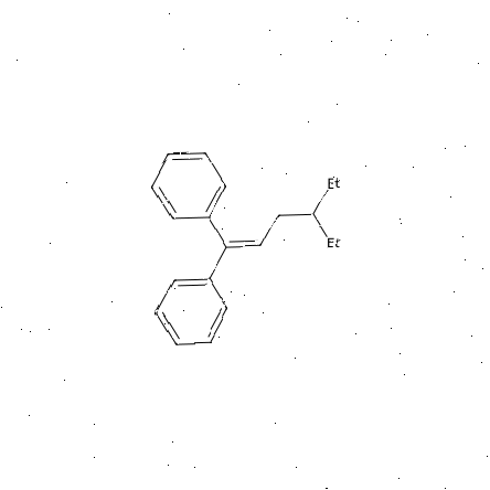 CCC(CC)CC=C(c1ccccc1)c1ccccc1